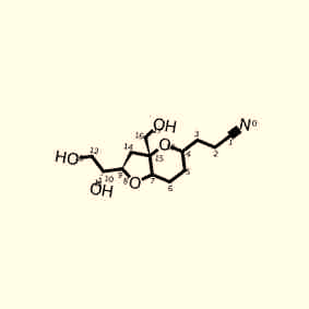 N#CCCC1CCC2O[C@@H]([C@H](O)CO)C[C@]2(CO)O1